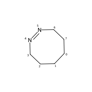 C1CCCN=NCC1